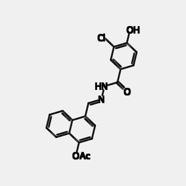 CC(=O)Oc1ccc(/C=N/NC(=O)c2ccc(O)c(Cl)c2)c2ccccc12